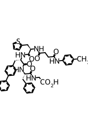 Cc1ccc(NC(=O)CCC(=O)N[C@H](Cc2cccs2)C(=O)N[C@@H](Cc2ccc(-c3ccccc3)cc2)C(=O)N[C@@H](Cc2ccccc2)C(=O)NCC(=O)O)cc1